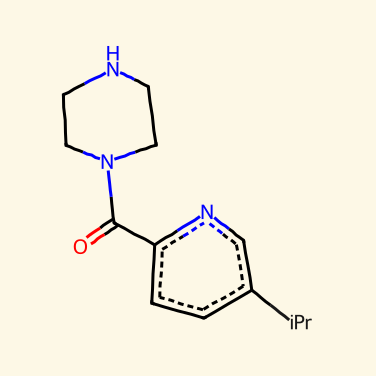 CC(C)c1ccc(C(=O)N2CCNCC2)nc1